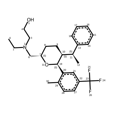 CCN(CCO)C[C@@H]1CC[C@@H]([C@H](C)c2ccccc2)[C@@H](c2cc(C(F)(F)F)ccc2C)O1